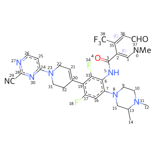 CN/C=C(C(=O)Nc1c(N2CCN(C)C(C)C2)cc(F)c(C2=CCN(c3ccnc(C#N)n3)CC2)c1F)\C(=C/C=O)C(F)(F)F